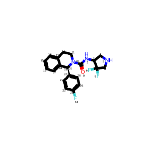 O=C(NC1CNCC1(F)F)N1CCc2ccccc2[C@@H]1c1ccc(F)cc1